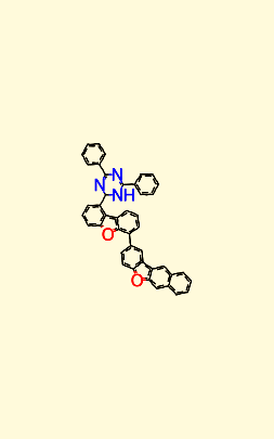 c1ccc(C2=NC(c3cccc4oc5c(-c6ccc7oc8cc9ccccc9cc8c7c6)cccc5c34)NC(c3ccccc3)=N2)cc1